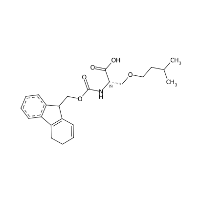 CC(C)CCOC[C@H](NC(=O)OCC1C2=C(CCC=C2)c2ccccc21)C(=O)O